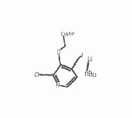 COCOc1c(I)ccnc1Cl.[Li][CH2]CCC